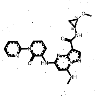 CNc1cc(Nc2cccn(-c3ccccn3)c2=O)nc2c(C(=O)N[C@H]3C[C@@H]3OC)cnn12